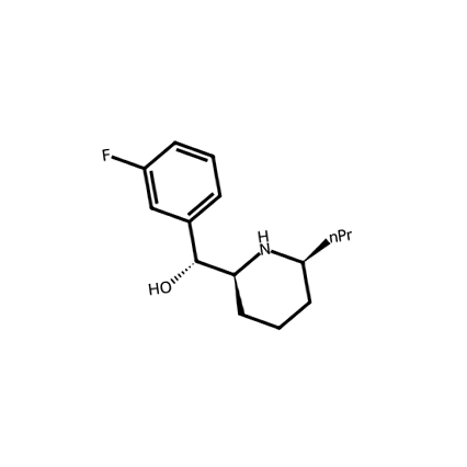 CCC[C@H]1CCC[C@@H]([C@H](O)c2cccc(F)c2)N1